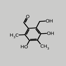 Cc1c(O)c(C)c(C=O)c(CO)c1O